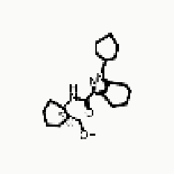 O=C(N[C@@H]1CCCC[C@@H]1CO)c1nn(C2CCCCC2)c2c1CCCC2